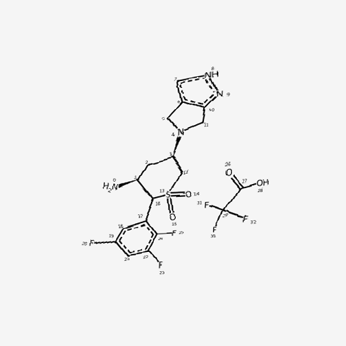 N[C@H]1C[C@@H](N2Cc3c[nH]nc3C2)CS(=O)(=O)C1c1cc(F)cc(F)c1F.O=C(O)C(F)(F)F